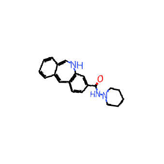 O=C(NN1CCCCC1)c1ccc2c(c1)NC=c1ccccc1=C2